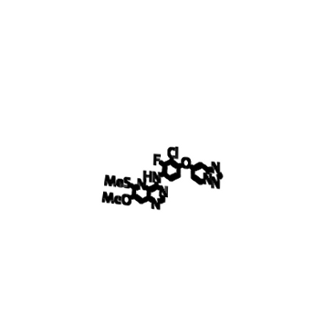 COc1cc2ncnc(Nc3ccc(Oc4ccn5ncnc5c4)c(Cl)c3F)c2nc1SC